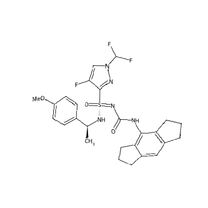 COc1ccc([C@H](C)N[S@@](=O)(=NC(=O)Nc2c3c(cc4c2CCC4)CCC3)c2nn(C(F)F)cc2F)cc1